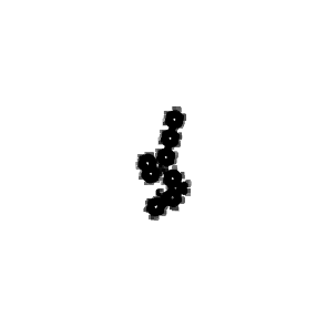 CC1(C)c2ccc(N(c3ccc(-c4ccc(-c5ccccc5)cc4)cc3)c3cccc4ccccc34)cc2-c2c1ccc1c2sc2ccccc21